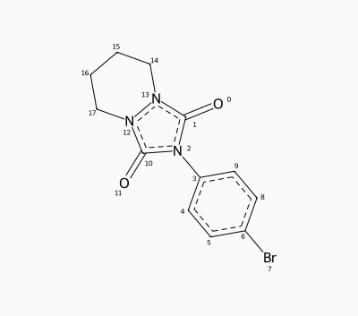 O=c1n(-c2ccc(Br)cc2)c(=O)n2n1CCCC2